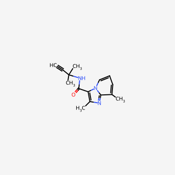 C#CC(C)(C)NC(=O)c1c(C)nc2c(C)cccn12